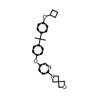 CC(C)(c1ccc(Oc2ccc(N3CC4(COC4)C3)nc2)cc1)c1ccc(OC2CCC2)cc1